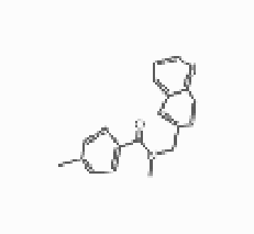 Cc1ccc(C(=O)N(C)Cc2ccc3ncccc3c2)cc1